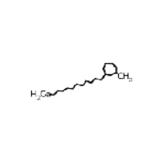 CC1CCCCC(CCCCCCCCCC[CH2][GaH2])C1